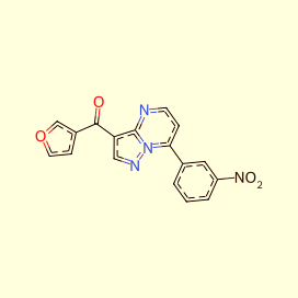 O=C(c1ccoc1)c1cnn2c(-c3cccc([N+](=O)[O-])c3)ccnc12